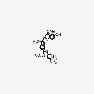 C=C(C)/C=C\C(=C/C)SN(CC(=O)OCC)c1ccc2c(c1)cc(CN(CC(=O)OC)Sc1ccc(O)cc1)n2C